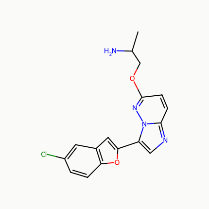 CC(N)COc1ccc2ncc(-c3cc4cc(Cl)ccc4o3)n2n1